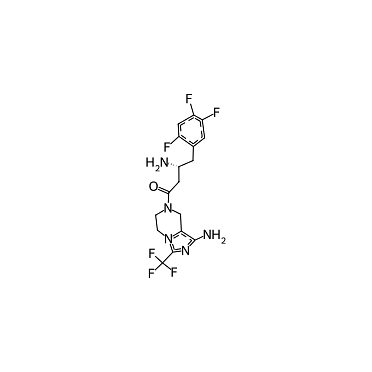 Nc1nc(C(F)(F)F)n2c1CN(C(=O)C[C@H](N)Cc1cc(F)c(F)cc1F)CC2